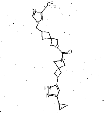 O=C(N1CC2(CC(Cn3cnc(C(F)(F)F)c3)C2)C1)N1CC2(CC(c3cc(C4CC4)n[nH]3)C2)C1